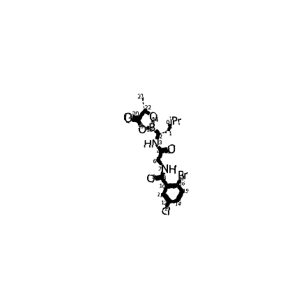 CC(C)C[C@H](NC(=O)CNC(=O)c1cc(Cl)ccc1Br)B1OC(=O)[C@H](C)O1